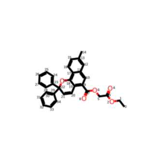 CCOC(=O)COC(=O)c1cc2cc(C)ccc2c2c1C=CC(c1ccccc1)(c1ccccc1)O2